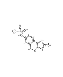 CC(=O)c1cc2c(s1)-c1ccc(OS(=O)(=O)C(F)(F)F)cc1CC2